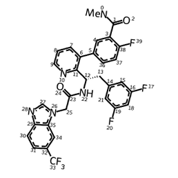 CNC(=O)c1cc(-c2cccnc2[C@H](Cc2cc(F)cc(F)c2)NC(=O)Cn2cnc3ccc(C(F)(F)F)cc32)ccc1F